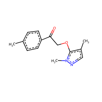 Cc1ccc(C(=O)COc2c(C)cnn2C)cc1